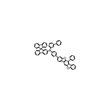 c1ccc(-c2cccc(N(c3ccc(-c4ccc5c(c4)oc4c(-c6ccccc6)c6c(cc45)oc4ccccc46)cc3)c3ccc4c(c3)C3(c5ccccc5-c5ccccc53)c3ccccc3-4)c2)cc1